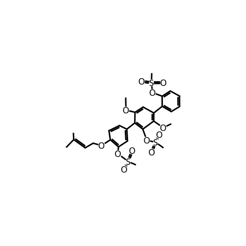 COc1cc(-c2ccccc2OS(C)(=O)=O)c(OC)c(OS(C)(=O)=O)c1-c1ccc(OCC=C(C)C)c(OS(C)(=O)=O)c1